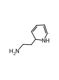 NCCC1C=CC=[C]N1